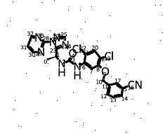 C[C@H](NC(=O)Nc1cc(OCc2cccc(C#N)c2)c(Cl)cc1Cl)c1ncnn1-c1ncccn1